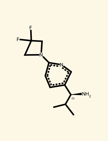 CC(C)[C@H](N)c1ccc(N2CC(F)(F)C2)nc1